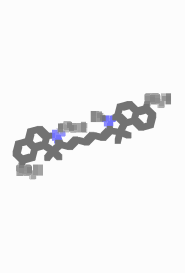 CCCCC[N+]1=C(/C=C/C=C/C=C2\N(CC)c3ccc4c(S(=O)(=O)O)cccc4c3C2(C)C)C(C)(C)c2c1ccc1ccc(S(=O)(=O)O)cc21